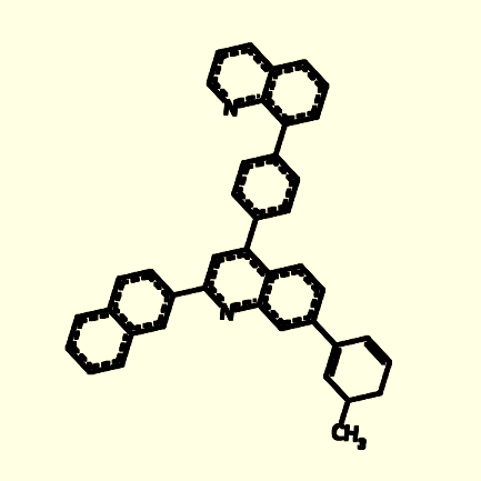 CC1C=C(c2ccc3c(-c4ccc(-c5cccc6cccnc56)cc4)cc(-c4ccc5ccccc5c4)nc3c2)C=CC1